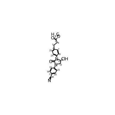 COC(=O)CCc1ccc(N2CCN(c3ccc(C#N)cc3)C2=O)cc1.Cl